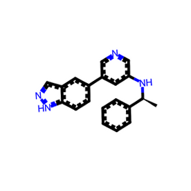 C[C@H](Nc1cncc(-c2ccc3[nH]ncc3c2)c1)c1ccccc1